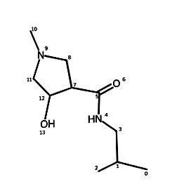 CC(C)CNC(=O)C1CN(C)CC1O